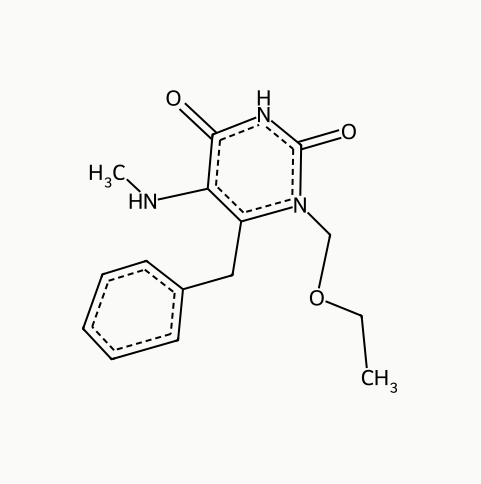 CCOCn1c(Cc2ccccc2)c(NC)c(=O)[nH]c1=O